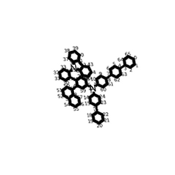 c1ccc(-c2ccc(-c3ccc(N(c4ccc(-c5ccccc5)cc4)c4ccc(-c5ccccc5-n5c6ccccc6c6ccccc65)c(-c5cccc6ccccc56)c4)cc3)cc2)cc1